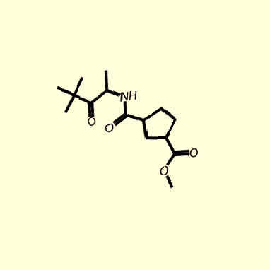 COC(=O)C1CCC(C(=O)NC(C)C(=O)C(C)(C)C)C1